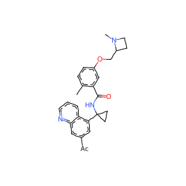 CC(=O)c1cc(C2(NC(=O)c3cc(OCC4CCN4C)ccc3C)CC2)c2cccnc2c1